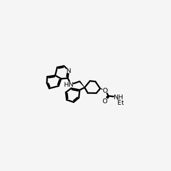 CCNC(=O)O[C@H]1CC[C@@](CNc2nccc3ccccc23)(c2ccccc2)CC1